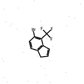 FC(F)(F)c1c(Br)ccc2c1C=CC2